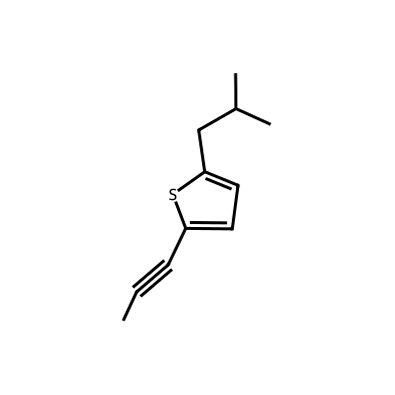 CC#Cc1ccc(CC(C)C)s1